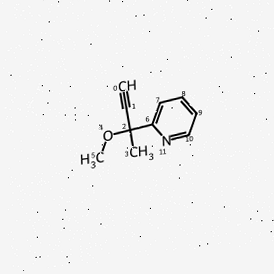 C#CC(C)(OC)c1ccccn1